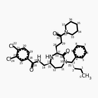 CCC[C@@H](c1ccccc1)N1CC[C@@H](CNC(=O)c2ccc(Cl)c(Cl)c2)N[C@@H](CCC(=O)N2CCCCC2)C1=O